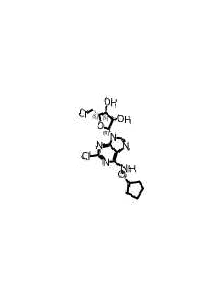 O[C@@H]1[C@H](O)[C@@H](CCl)O[C@H]1n1cnc2c(NOC3CCCC3)nc(Cl)nc21